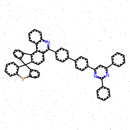 c1ccc(-c2cc(-c3ccc(-c4ccc(-c5nc6ccccc6c6c7c(ccc56)C5(c6ccccc6Sc6ccccc65)c5ccccc5-7)cc4)cc3)nc(-c3ccccc3)n2)cc1